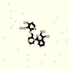 O=Cc1c(N=O)ccnc1OCC1CSCCN1C(=O)c1ccccc1C(CN=O)N=O